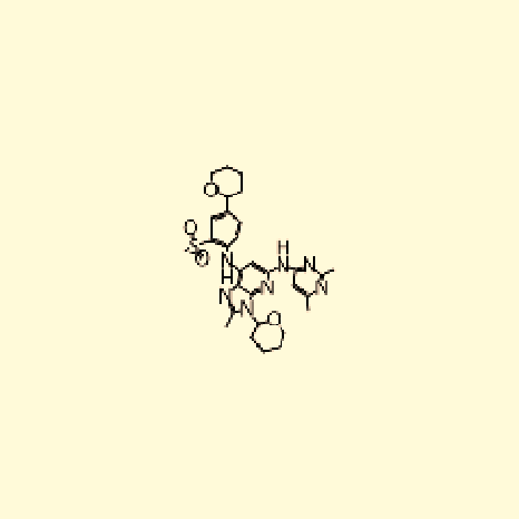 Cc1cc(Nc2cc(Nc3ccc(C4CCCCO4)cc3S(C)(=O)=O)c3nc(C)n(C4CCCCO4)c3n2)nc(C)n1